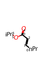 CCCC=CC(=O)OC(C)C